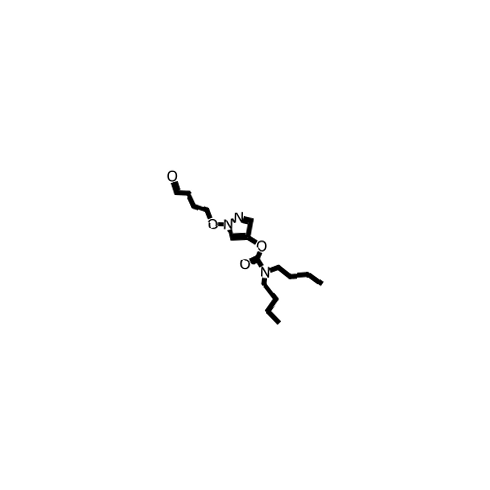 CCCCN(CCCC)C(=O)Oc1cnn(OCCCC=O)c1